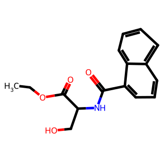 CCOC(=O)C(CO)NC(=O)c1cccc2ccccc12